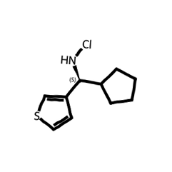 ClN[C@H](c1ccsc1)C1CCCC1